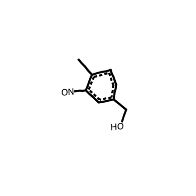 Cc1ccc(CO)cc1N=O